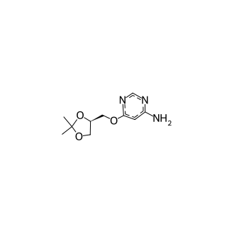 CC1(C)OC[C@H](COc2cc(N)ncn2)O1